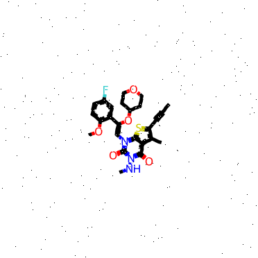 CC#Cc1sc2c(c1C)c(=O)n(NC)c(=O)n2C=C(OC1CCOCC1)c1cc(F)ccc1OC